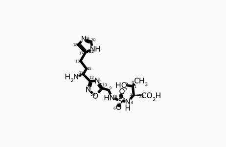 CC(O)[C@H](NS(=O)(=O)NCc1nc([C@@H](N)CCc2cnc[nH]2)no1)C(=O)O